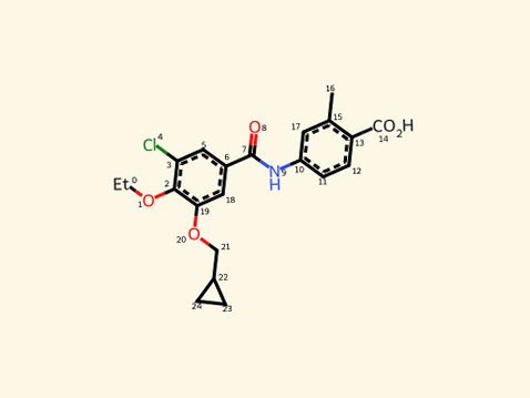 CCOc1c(Cl)cc(C(=O)Nc2ccc(C(=O)O)c(C)c2)cc1OCC1CC1